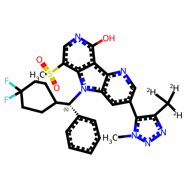 [2H]C([2H])([2H])c1nnn(C)c1-c1cnc2c3c(O)ncc(S(C)(=O)=O)c3n([C@H](c3ccccc3)C3CCC(F)(F)CC3)c2c1